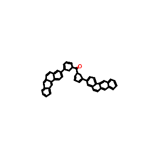 O=C(C1C=CC=C(c2ccc3c(ccc4cc5ccccc5cc43)c2)C1)C1C=CC=C(c2ccc3c(ccc4cc5ccccc5cc43)c2)C1